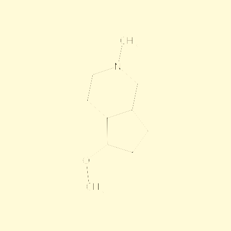 COC1CCC2CN(C)CCC21